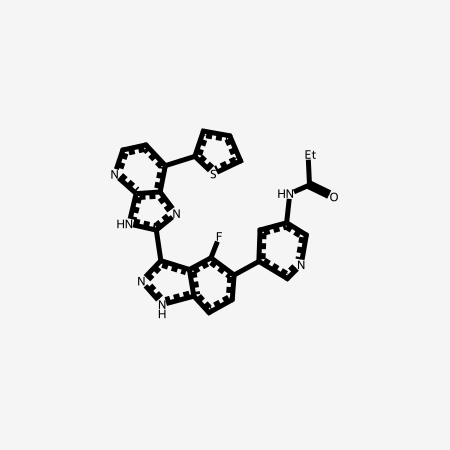 CCC(=O)Nc1cncc(-c2ccc3[nH]nc(-c4nc5c(-c6cccs6)ccnc5[nH]4)c3c2F)c1